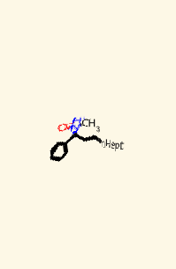 CCCCCCCCCC(c1ccccc1)[NH+](C)[O-]